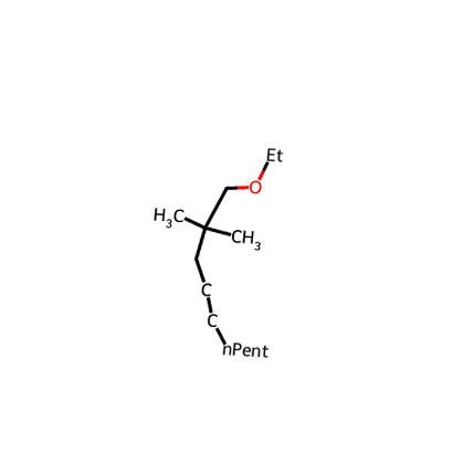 CCCCCCCCC(C)(C)COCC